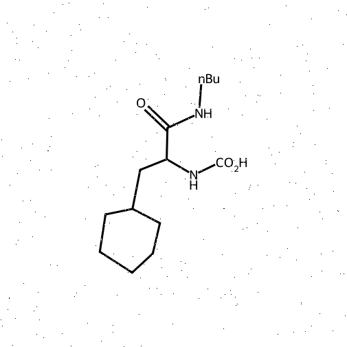 CCCCNC(=O)C(CC1CCCCC1)NC(=O)O